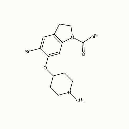 CCCC(=O)N1CCc2cc(Br)c(OC3CCN(C)CC3)cc21